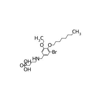 CCCCCCCCOc1c(Br)cc(CNCCCP(=O)(O)O)cc1OCC